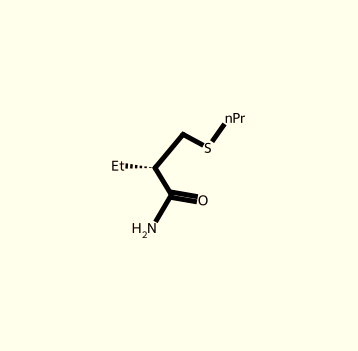 CCCSC[C@@H](CC)C(N)=O